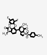 Cc1ccc(S(=O)(=O)n2ccc3c(-c4ccc5c([nH]c(=O)n5C)c4Oc4ccc(F)cc4F)cn(C)c(=O)c32)cc1